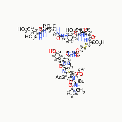 CCCC(=O)OCN(C(=O)[C@@H](NC(=O)[C@H]1CCCCN1C)C(C)CC)[C@H](C[C@@H](OC(C)=O)c1nc(C(=O)N[C@@H](Cc2ccc(O)cc2)C[C@H](C)C(=O)NNC(=O)OCCSSC[C@H](NC(=O)[C@H](CC(=O)O)NC(=O)[C@H](CC(=O)O)NC(=O)Cc2ccc(CNC(=O)NCCCC[C@@H](NC(=O)N[C@H](CCCC(=O)O)C(=O)O)C(=O)O)cc2)C(=O)O)cs1)C(C)C